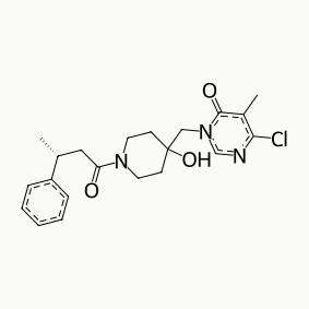 Cc1c(Cl)ncn(CC2(O)CCN(C(=O)C[C@@H](C)c3ccccc3)CC2)c1=O